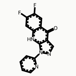 O=c1c2cc(F)c(F)cc2[nH]c2c1cnn2-c1ccccn1